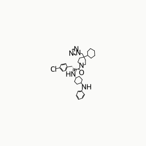 O=C([C@@H](Cc1ccc(Cl)cc1)N[C@H]1CC[C@H](Nc2ccccc2)CC1)N1CCC(Cn2cncn2)(C2CCCCC2)CC1